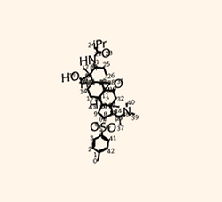 Cc1ccc(S(=O)(=O)[C@@H]2C[C@@]3(C)[C@@H]4CC[C@H]5[C@](C)(CO)[C@@H](NC(=O)C(C)C)CC[C@@]56C[C@@]46C(=O)C[C@]3(C)[C@H]2[C@H](C)N(C)C)cc1